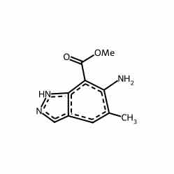 COC(=O)c1c(N)c(C)cc2cn[nH]c12